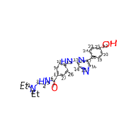 CCN(CC)CCNC(=O)c1ccc(Nc2cncc(-c3ccc(O)cc3)n2)cc1